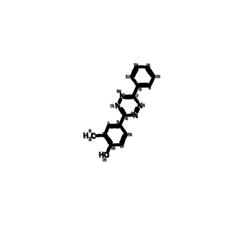 Cc1cc(-c2nnc(-c3ccccc3)nn2)ccc1O